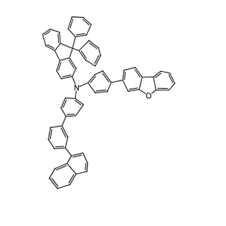 c1ccc(C2(c3ccccc3)c3ccccc3-c3ccc(N(c4ccc(-c5cccc(-c6cccc7ccccc67)c5)cc4)c4ccc(-c5ccc6c(c5)oc5ccccc56)cc4)cc32)cc1